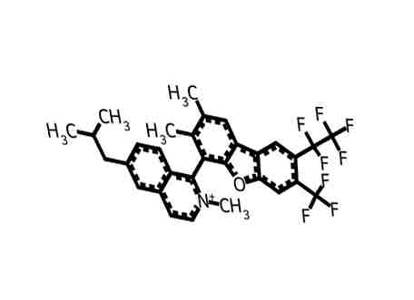 Cc1cc2c(oc3cc(C(F)(F)F)c(C(F)(F)C(F)(F)F)cc32)c(-c2c3ccc(CC(C)C)cc3cc[n+]2C)c1C